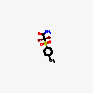 Cc1ccc(S(=O)(=O)C(Br)(Br)C(N)=O)cc1